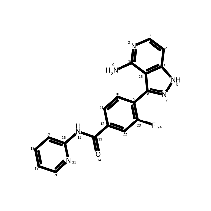 Nc1nccc2[nH]nc(-c3ccc(C(=O)Nc4ccccn4)cc3F)c12